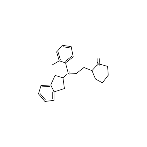 Cc1ccccc1N(CCC1CCCCN1)C1Cc2ccccc2C1